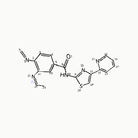 C=Nc1ccc(C(=O)Nc2nc(-c3ccccn3)cs2)cc1/N=C\C